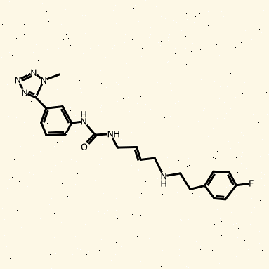 Cn1nnnc1-c1cccc(NC(=O)NCC=CCNCCc2ccc(F)cc2)c1